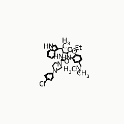 CCOc1ccc(CN(C)C)cc1NC(=O)[C@H](NC(=O)N1CCN(c2ccc(Cl)cc2)CC1)[C@H](C)c1c[nH]c2ccccc12